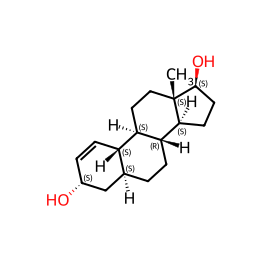 C[C@]12CC[C@@H]3[C@H]4C=C[C@@H](O)C[C@@H]4CC[C@H]3[C@@H]1CC[C@@H]2O